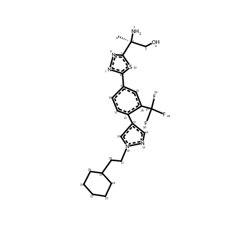 C[C@](N)(CO)c1nnc(-c2ccc(-c3cnn(CCC4CCCCC4)c3)c(C(F)(F)F)c2)s1